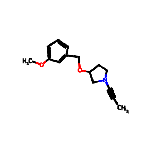 CC#CN1CCC(OCc2cccc(OC)c2)C1